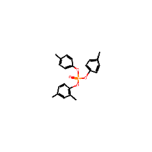 Cc1ccc(OP(=O)(Oc2ccc(C)cc2)Oc2ccc(C)cc2C)cc1